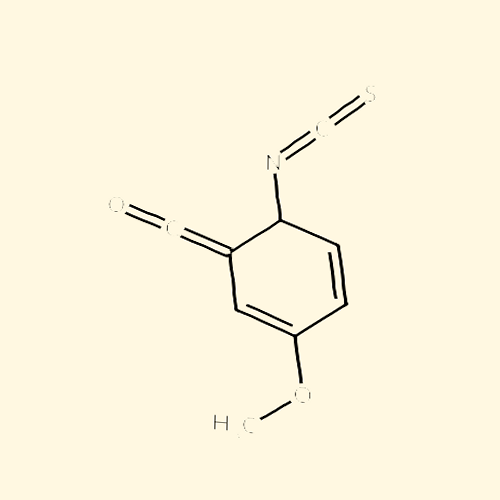 COC1=CC(=C=O)C(N=C=S)C=C1